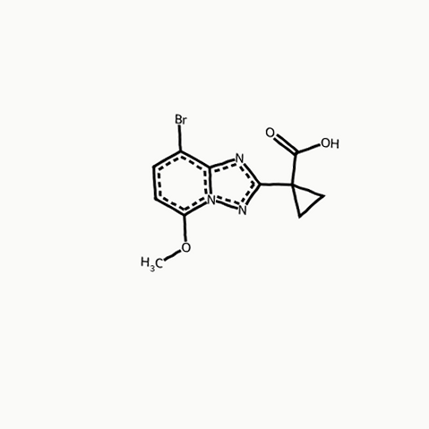 COc1ccc(Br)c2nc(C3(C(=O)O)CC3)nn12